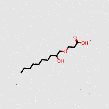 CCCCCCCCC(O)COCCC(=O)O